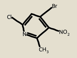 Cc1nc(Cl)cc(Br)c1[N+](=O)[O-]